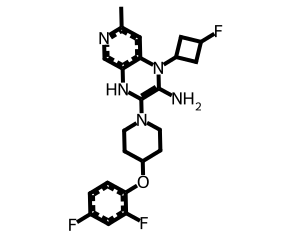 Cc1cc2c(cn1)NC(N1CCC(Oc3ccc(F)cc3F)CC1)=C(N)N2C1CC(F)C1